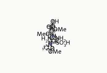 COC(=O)c1ccccc1/N=N/c1cc(S(=O)(=O)O)c(N)c(/N=N/c2cc(OC)c(S(=O)(=O)CCO)cc2OC)c1N